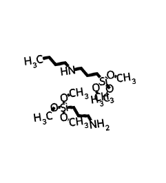 CCCCNCCC[Si](OC)(OC)OC.CO[Si](CCCN)(OC)OC